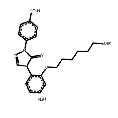 CCCCCCCCCCCCCCCCOc1ccccc1C1C=NN(c2ccc(S(=O)(=O)O)cc2)C1=O.[NaH]